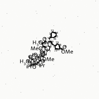 CC[C@H](C)[C@@H]([C@@H](CC(=O)N1CCC[C@H]1[C@H](OC)[C@@H](C)C(=O)N[C@H](C=Cc1ccc(C(=O)OC)cc1)Cc1ccccc1)OC)N(C)C(=O)[C@@H](NC(=O)[C@H](C(C)C)N(C)C(=O)OC(C)(C)C)C(C)C